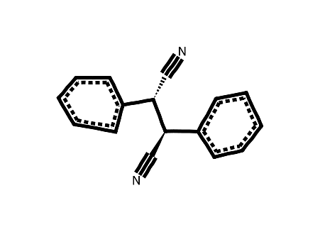 N#C[C@H](c1ccccc1)[C@@H](C#N)c1ccccc1